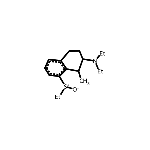 CCN(CC)C1CCc2cccc([S+]([O-])CC)c2C1C